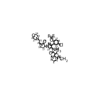 C=NN1C=CC=N/C1=C(/C)C(=O)Nc1cn([C@@H]2CCN(CCN3CCOCC3)C2=O)nc1-c1cc(Cl)ccc1OC(F)F